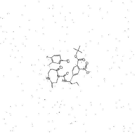 CCC[C@@H](NC(=O)N1CC(=S)NC[C@H](Cc2cc(Cl)ccc2F)C1=O)c1ccc(C(=O)OC(C)(C)C)c([N+](=O)[O-])c1